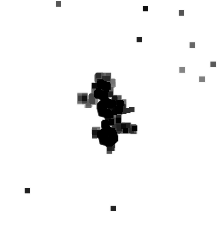 COc1cc(F)cc(F)c1CNc1ccc(-c2ncc(C)nc2C)c2nncn12